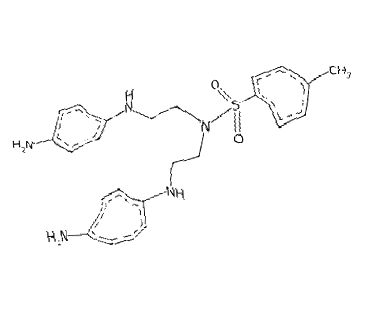 Cc1ccc(S(=O)(=O)N(CCNc2ccc(N)cc2)CCNc2ccc(N)cc2)cc1